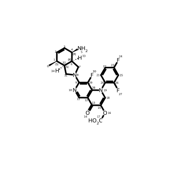 C[C@H]1C=C[C@@H](N)[C@H]2CN(c3ncc4c(=O)c(OC(=O)O)cn(-c5ccc(F)cc5F)c4c3F)C[C@H]21